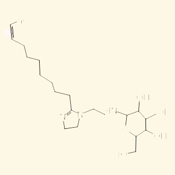 CCCCCCCC/C=C\CCCCCCCC1=NCCN1CCNC1OC(CO)C(O)C(O)C1O